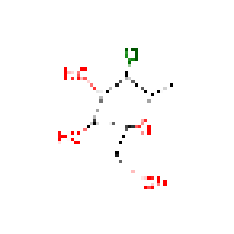 CC1OC(CO)C(O)C(O)C1Cl